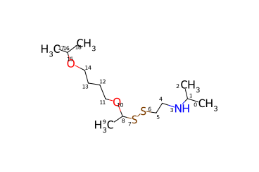 CC(C)NCCSSC(C)OCCCCOC(C)C